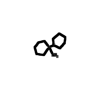 N[Si]1(N2CCCCC2)CCCCC1